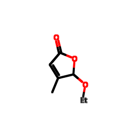 CCOC1OC(=O)C=C1C